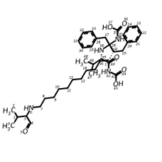 CC(C)C(C=O)NCCCCCCCCCCC[C@@H](Cc1ccccc1)C(Cc1ccccc1)(NC(=O)O)N[C@H](C(=O)NC(=O)O)C(C)C